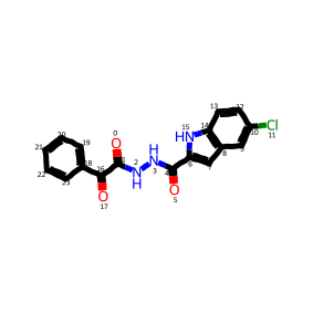 O=C(NNC(=O)c1cc2cc(Cl)ccc2[nH]1)C(=O)c1ccccc1